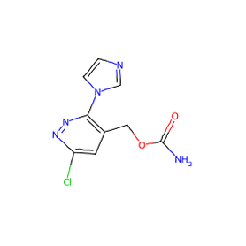 NC(=O)OCc1cc(Cl)nnc1-n1ccnc1